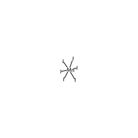 [I][Mn]([I])([I])([I])([I])[I]